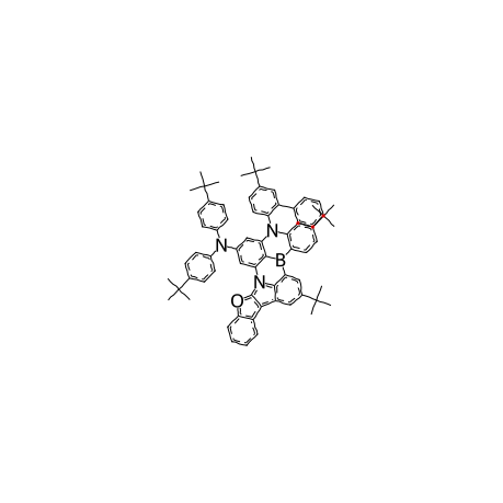 CC(C)(C)c1ccc(N(c2ccc(C(C)(C)C)cc2)c2cc3c4c(c2)-n2c5oc6ccccc6c5c5cc(C(C)(C)C)cc(c52)B4c2ccc(C(C)(C)C)cc2N3c2ccc(C(C)(C)C)cc2-c2ccccc2)cc1